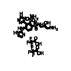 NCC(O)CNS(=O)(=O)c1ccc(Nc2ncc[nH]2)c(-c2nn[nH]n2)c1S(N)(=O)=O.O=C(O)C(F)(F)F.O=C(O)C(F)(F)F